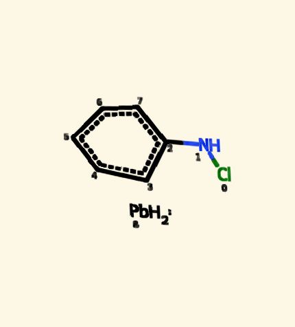 ClNc1ccccc1.[PbH2]